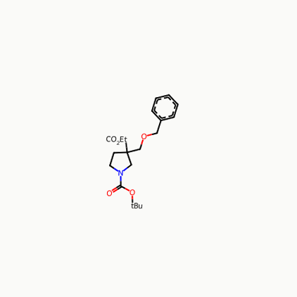 CCOC(=O)C1(COCc2ccccc2)CCN(C(=O)OC(C)(C)C)C1